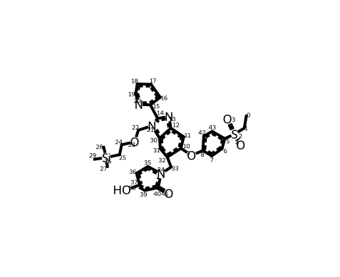 CCS(=O)(=O)c1ccc(Oc2cc3nc(-c4ccccn4)n(COCC[Si](C)(C)C)c3cc2Cn2ccc(O)cc2=O)cc1